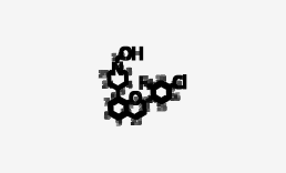 OCN1CCC(c2cccc3c2O[C@@H](c2ccc(Cl)cc2F)C=C3)CC1